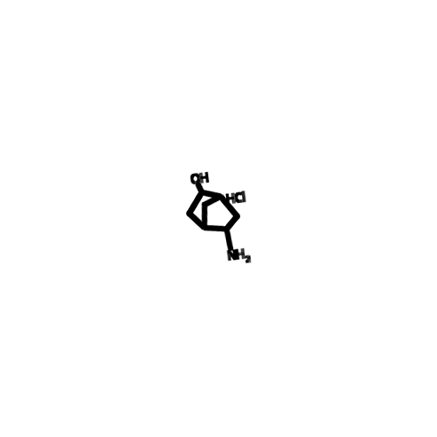 Cl.NC1CC2CC1CC2O